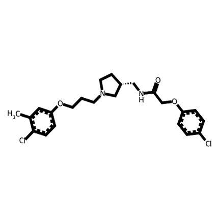 Cc1cc(OCCCN2CC[C@H](CNC(=O)COc3ccc(Cl)cc3)C2)ccc1Cl